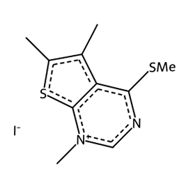 CSc1nc[n+](C)c2sc(C)c(C)c12.[I-]